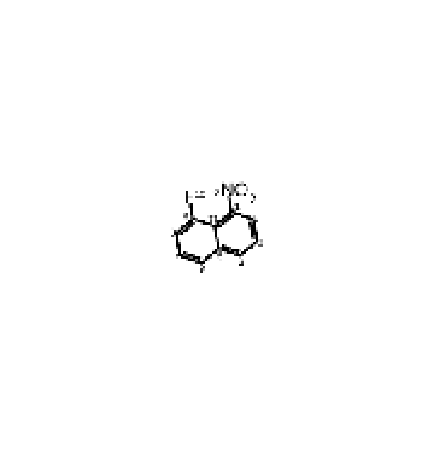 O=[N+]([O-])c1cccc2cccc(F)c12